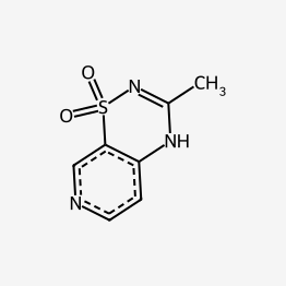 CC1=NS(=O)(=O)c2cnccc2N1